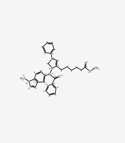 COC(=O)CCCCCC1=CN(c2ccccc2)CN1N(C(=O)c1ccccc1)c1ccc2c(cnn2C)c1